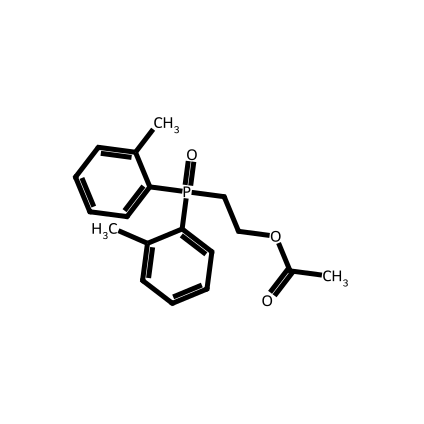 CC(=O)OCCP(=O)(c1ccccc1C)c1ccccc1C